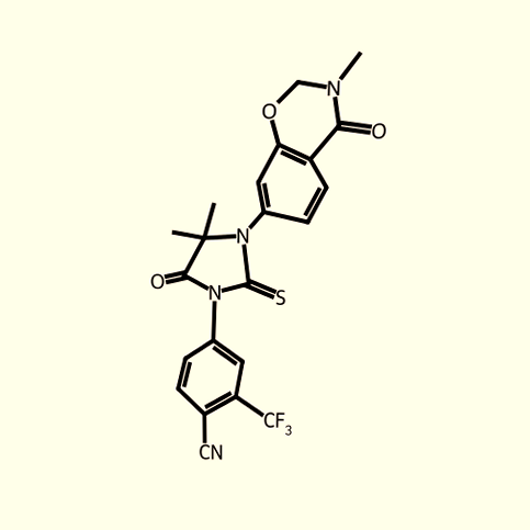 CN1COc2cc(N3C(=S)N(c4ccc(C#N)c(C(F)(F)F)c4)C(=O)C3(C)C)ccc2C1=O